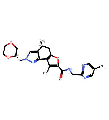 Cc1cnc(CNC(=O)c2oc3c(c2C(F)(F)F)-c2nn(C[C@H]4COCCO4)cc2[C@@H](C)C3)nc1